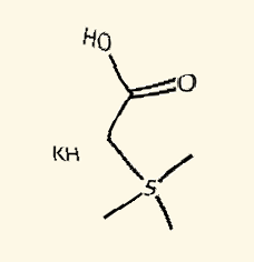 CS(C)(C)CC(=O)O.[KH]